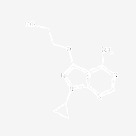 Nc1ncnc2c1c(OCCO)nn2C1CC1